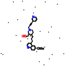 COc1ccc2nccc(CCC[C@@H]3CCN(CC#Cc4cccnc4)C[C@@H]3CO)c2c1